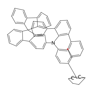 c1ccc(-c2cccc(-c3ccccc3)c2N(c2ccc(C3CC4CCC3CC4)cc2)c2ccc3c(c2)C2(c4ccccc4-c4ccccc42)c2ccccc2-3)cc1